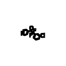 O=C(c1ccncc1)C(F)(F)c1cccc(Cl)c1